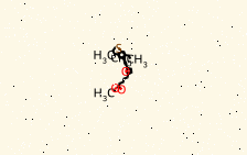 CCOC(=O)CCCCc1ccc(C#Cc2cc3c(cc2CC)SCCC3(C)C)o1